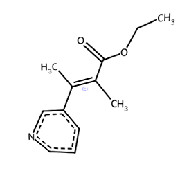 CCOC(=O)/C(C)=C(\C)c1cccnc1